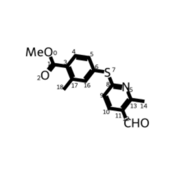 COC(=O)c1ccc(Sc2ccc(C=O)c(C)n2)cc1C